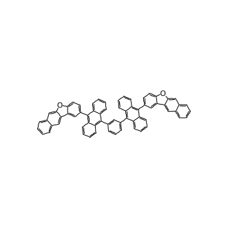 c1cc(-c2c3ccccc3c(-c3ccc4oc5cc6ccccc6cc5c4c3)c3ccccc23)cc(-c2c3ccccc3c(-c3ccc4oc5cc6ccccc6cc5c4c3)c3ccccc23)c1